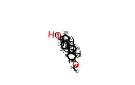 CCO[C@@H]1CC[C@@]2(C)[C@@H](CC[C@@H]3[C@@H]2CC[C@]2(C)[C@@H](O)CC[C@@H]32)C1